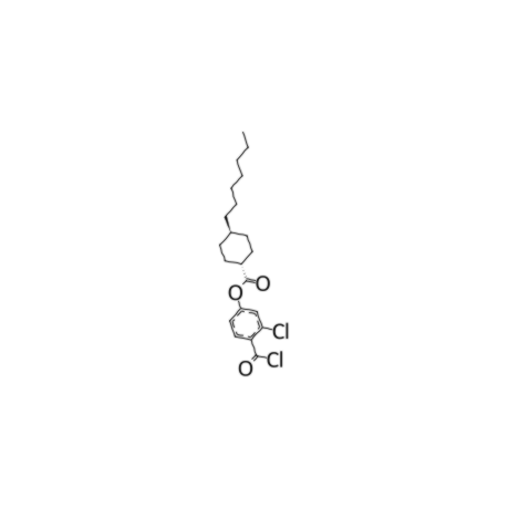 CCCCCCC[C@H]1CC[C@H](C(=O)Oc2ccc(C(=O)Cl)c(Cl)c2)CC1